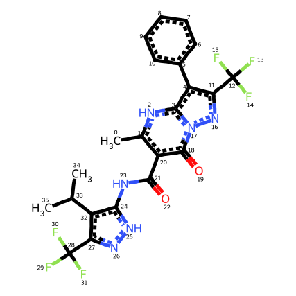 Cc1[nH]c2c(-c3ccccc3)c(C(F)(F)F)nn2c(=O)c1C(=O)Nc1[nH]nc(C(F)(F)F)c1C(C)C